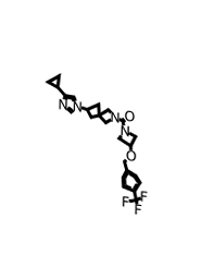 O=C(N1CC(OCc2ccc(C(F)(F)F)cc2)C1)N1CC2(CC(n3cnc(C4CC4)c3)C2)C1